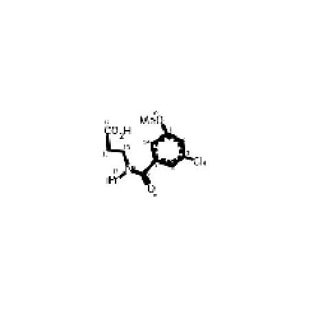 COc1cc(Cl)cc(C(=O)N(CCC(=O)O)C(C)C)c1